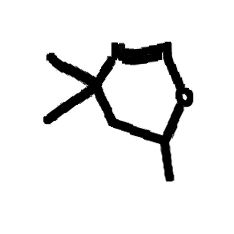 CC1CC(C)(C)N=CO1